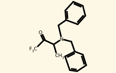 CC(C(=O)C(F)(F)F)N(Cc1ccccc1)Cc1ccccc1